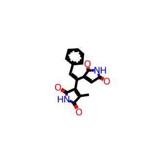 CC1=C(C(=Cc2ccccc2)C2=CC(=O)NC2=O)C(=O)NC1=O